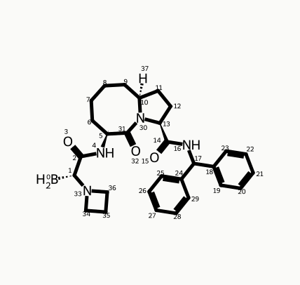 B[C@H](C(=O)N[C@H]1CCCC[C@H]2CC[C@@H](C(=O)NC(c3ccccc3)c3ccccc3)N2C1=O)N1CCC1